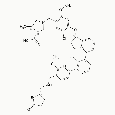 COc1nc(-c2cccc(-c3cccc4c3CC[C@@H]4Oc3nc(OC)c(CN4C[C@H](C(=O)O)[C@@H](C)C4)cc3Cl)c2Cl)ccc1CNC[C@@H]1CCC(=O)N1